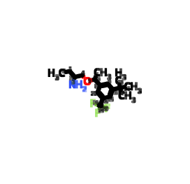 CCC(N)COC(C)c1cc(C(C)(C)C)cc(C(F)(F)F)c1